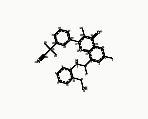 Cc1cc(C(C)Nc2ccccc2CO)c2oc(-c3cccc(C(C)(C)C#N)c3)c(C)c(=O)c2c1